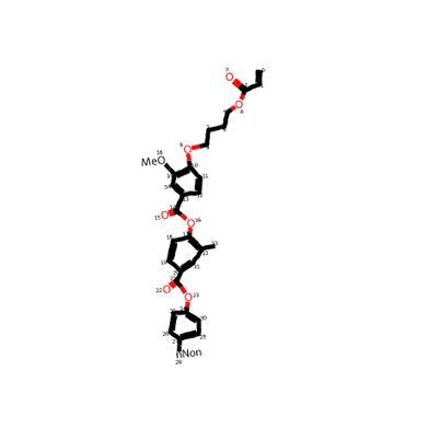 C=CC(=O)OCCCCOc1ccc(C(=O)Oc2ccc(C(=O)Oc3ccc(CCCCCCCCC)cc3)cc2C)cc1OC